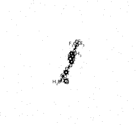 BCCN(C(=O)Oc1ccc(OCCOc2ccc3c(c2)CC[C@@H]2[C@@H]3CC[C@]3(C)[C@@H](OCCCOC(C(F)(F)F)(C(F)(F)F)C(F)(F)F)CC[C@@H]23)cc1)C1CCSSC1